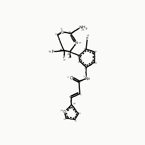 C[C@]1(c2cc(NC(=O)C=Cc3ccco3)ccc2F)N=C(N)OCC1(F)F